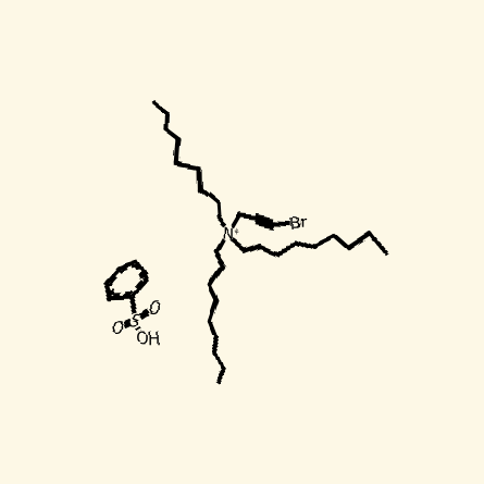 CCCCCCCCC[N+](CC#CBr)(CCCCCCCCC)CCCCCCCCC.O=S(=O)(O)c1ccccc1